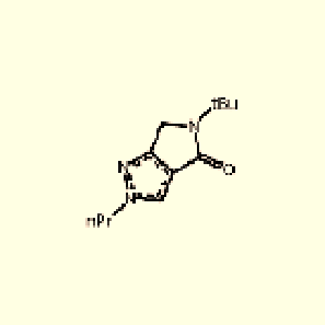 CCCn1cc2c(n1)CN(C(C)(C)C)C2=O